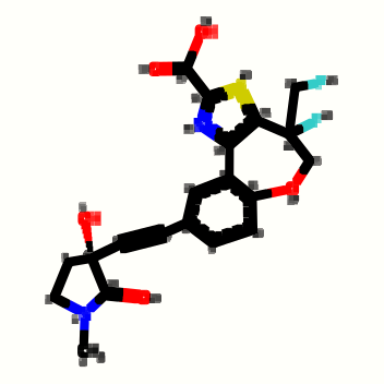 CN1CC[C@@](O)(C#Cc2ccc3c(c2)-c2nc(C(=O)O)sc2C(F)(CF)CO3)C1=O